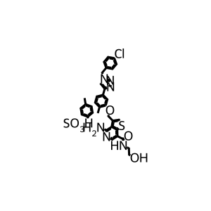 Cc1ccc(-c2cn(Cc3ccc(Cl)cc3)nn2)cc1OCc1csc2c(C(=O)NCCO)cnc(N)c12.Cc1ccc(S(=O)(=O)O)cc1